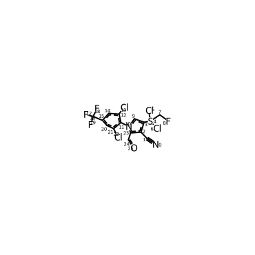 N#Cc1c(S(Cl)(Cl)CF)cn(-c2c(Cl)cc(C(F)(F)F)cc2Cl)c1C=O